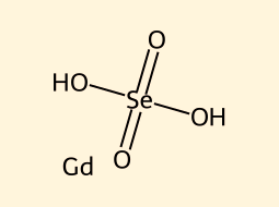 O=[Se](=O)(O)O.[Gd]